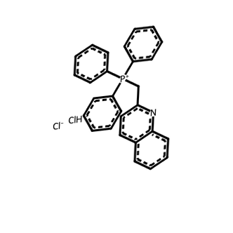 Cl.[Cl-].c1ccc([P+](Cc2ccc3ccccc3n2)(c2ccccc2)c2ccccc2)cc1